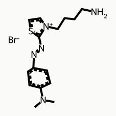 CN(C)c1ccc(/N=N/c2scc[n+]2CCCCN)cc1.[Br-]